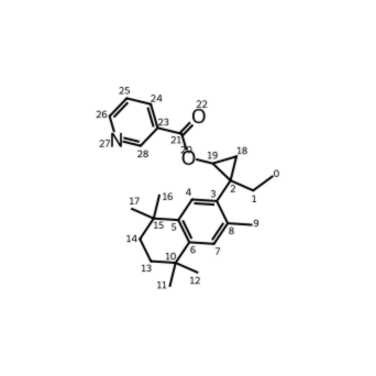 CCC1(c2cc3c(cc2C)C(C)(C)CCC3(C)C)CC1OC(=O)c1cccnc1